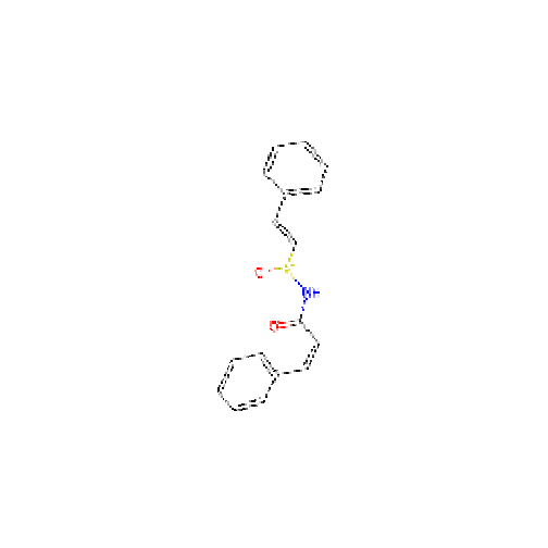 O=C(/C=C\c1ccccc1)N[S+]([O-])/C=C/c1ccccc1